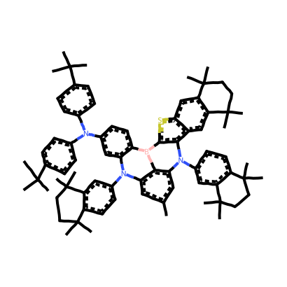 Cc1cc2c3c(c1)N(c1ccc4c(c1)C(C)(C)CCC4(C)C)c1c(sc4cc5c(cc14)C(C)(C)CCC5(C)C)B3c1ccc(N(c3ccc(C(C)(C)C)cc3)c3ccc(C(C)(C)C)cc3)cc1N2c1ccc2c(c1)C(C)(C)CCC2(C)C